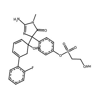 COCCS(=O)(=O)Oc1ccc(C2(C3(OC)C=CC=C(c4ccccc4F)C3)N=C(N)N(C)C2=O)cc1